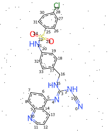 N#CN/C(=N/c1cccc2ncccc12)NCc1ccc(NS(=O)(=O)c2ccc(Cl)cc2)cc1